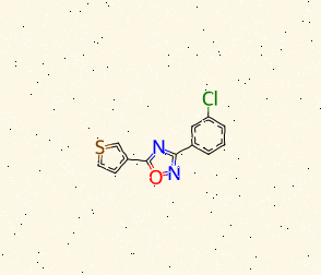 Clc1cccc(-c2noc(-c3ccsc3)n2)c1